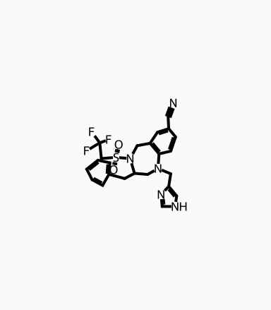 N#Cc1ccc2c(c1)CN(S(=O)(=O)CC(F)(F)F)C(Cc1ccccc1)CN2Cc1c[nH]cn1